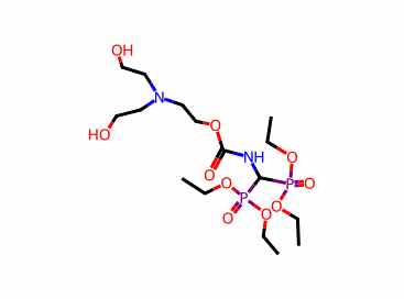 CCOP(=O)(OCC)C(NC(=O)OCCN(CCO)CCO)P(=O)(OCC)OCC